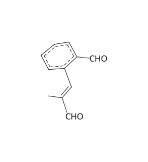 CC(C=O)=Cc1ccccc1C=O